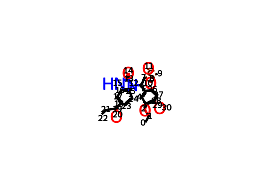 CCOc1cc(C(CS(C)(=O)=O)n2c(=O)[nH]c3cc(C(=O)CC)ccc32)ccc1OC